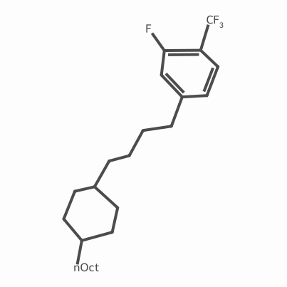 CCCCCCCCC1CCC(CCCCc2ccc(C(F)(F)F)c(F)c2)CC1